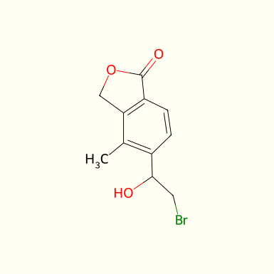 Cc1c(C(O)CBr)ccc2c1COC2=O